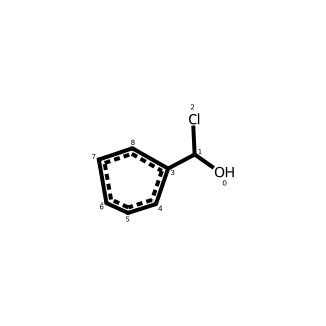 OC(Cl)c1cc[c]cc1